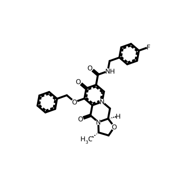 C[C@H]1CO[C@@H]2Cn3cc(C(=O)NCc4ccc(F)cc4)c(=O)c(OCc4ccccc4)c3C(=O)N12